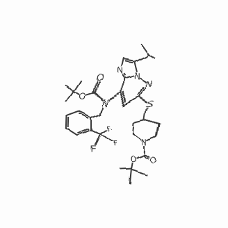 CC(C)c1cnc2c(N(Cc3ccccc3C(F)(F)F)C(=O)OC(C)(C)C)cc(SC3CCN(C(=O)OC(C)(C)C)CC3)nn12